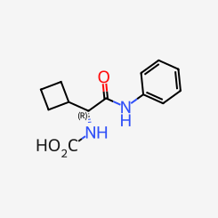 O=C(O)N[C@@H](C(=O)Nc1ccccc1)C1CCC1